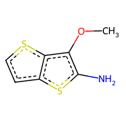 COc1c(N)sc2ccsc12